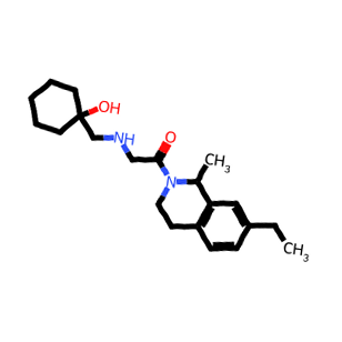 CCc1ccc2c(c1)C(C)N(C(=O)CNCC1(O)CCCCC1)CC2